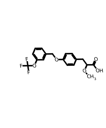 COC(Cc1ccc(OCc2cccc(OC(F)(F)F)c2)cc1)C(=O)O